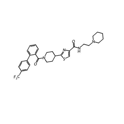 O=C(NCCN1CCCCC1)c1csc(C2CCN(C(=O)c3ccccc3-c3ccc(C(F)(F)F)cc3)CC2)n1